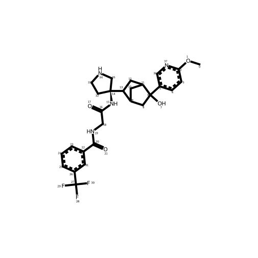 COc1ccc(C2(O)CC3CC2CC3[C@]2(NC(=O)CNC(=O)c3cccc(C(F)(F)F)c3)CCNC2)cn1